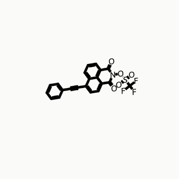 O=C1c2cccc3c(C#Cc4ccccc4)ccc(c23)C(=O)N1OS(=O)(=O)C(F)(F)F